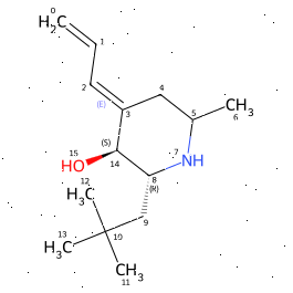 C=C/C=C1\CC(C)N[C@H](CC(C)(C)C)[C@H]1O